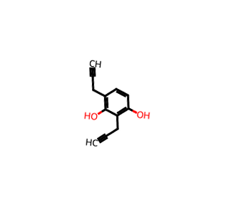 C#CCc1ccc(O)c(CC#C)c1O